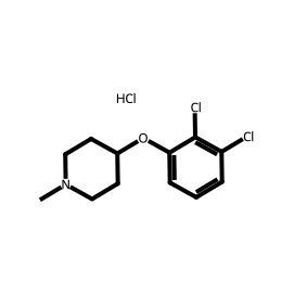 CN1CCC(Oc2cccc(Cl)c2Cl)CC1.Cl